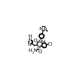 CN1CCN=C1c1ccc(NC(=O)C(Cc2c[nH]cn2)N(C(N)=O)c2ccc(Cl)cc2)cc1